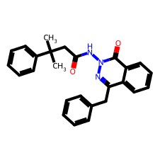 CC(C)(CC(=O)Nn1nc(Cc2ccccc2)c2ccccc2c1=O)c1ccccc1